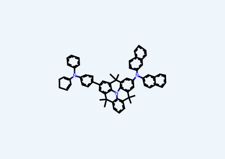 CC1(C)c2cccc3c2N2c4c1cc(-c1ccc(N(C5=CCCC=C5)c5ccccc5)cc1)cc4C(C)(C)c1cc(N(c4ccc5ccccc5c4)c4ccc5ccccc5c4)cc(c12)C3(C)C